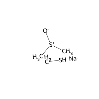 CS.C[S+](C)[O-].[Na]